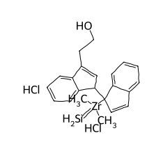 Cl.Cl.[CH3][Zr]([CH3])(=[SiH2])[C]1(C2C=C(CCO)c3ccccc32)C=Cc2ccccc21